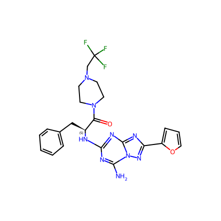 Nc1nc(N[C@@H](Cc2ccccc2)C(=O)N2CCN(CC(F)(F)F)CC2)nc2nc(-c3ccco3)nn12